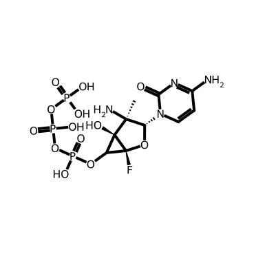 C[C@]1(N)[C@H](n2ccc(N)nc2=O)O[C@]2(F)C(OP(=O)(O)OP(=O)(O)OP(=O)(O)O)[C@]12O